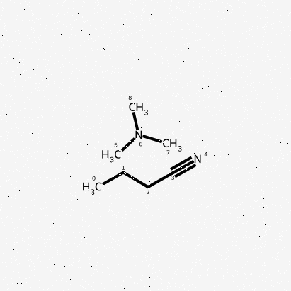 CCCC#N.CN(C)C